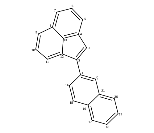 [c]1c(C2=Cc3cccc4cccc2c34)ccc2ccccc12